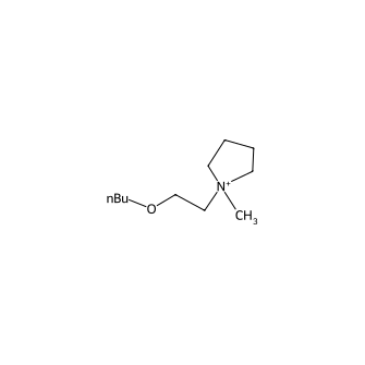 CCCCOCC[N+]1(C)CCCC1